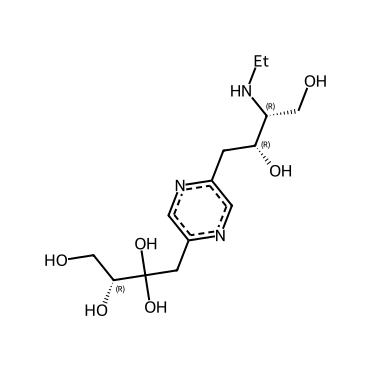 CCN[C@H](CO)[C@H](O)Cc1cnc(CC(O)(O)[C@H](O)CO)cn1